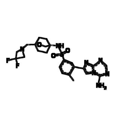 Cc1ccc(S(=O)(=O)NC23CCC(CN4CC(F)(F)C4)(CC2)OC3)cc1-c1cn2c(N)ncnc2n1